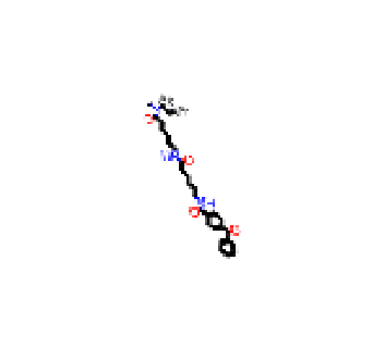 CC(=O)C(CC(C)C)N(C)C(=O)CCCCCNC(=O)CCCCCNC(=O)c1ccc(C(=O)c2ccccc2)cc1